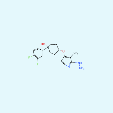 NNc1nccc(O[C@H]2CC[C@](O)(c3ccc(F)c(F)c3)CC2)c1C(F)(F)F